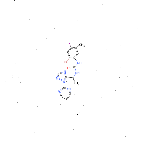 Cc1cc(NC(=O)N[C@@H](C)c2ncnn2-c2ncccn2)c(Br)cc1I